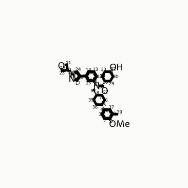 COc1ccc([C@H]2CC[C@H](CN(c3cccc(-c4cnn(C5COC5)c4)c3)C(=O)[C@H]3CC[C@H](O)CC3)CC2)cc1C